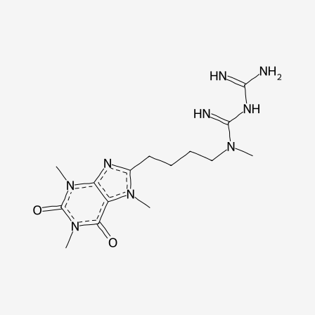 CN(CCCCc1nc2c(c(=O)n(C)c(=O)n2C)n1C)C(=N)NC(=N)N